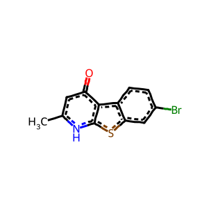 Cc1cc(=O)c2c([nH]1)sc1cc(Br)ccc12